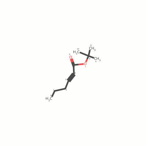 [CH2]CCC#CC(=O)OC(C)(C)C